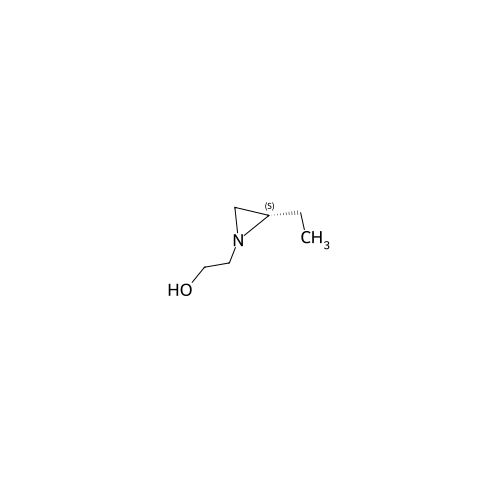 CC[C@H]1CN1CCO